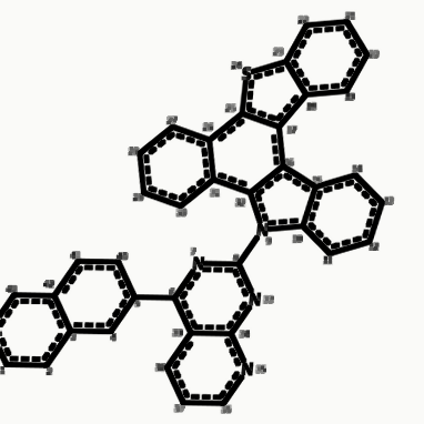 c1ccc2cc(-c3nc(-n4c5ccccc5c5c6c7ccccc7sc6c6ccccc6c54)nc4ncccc34)ccc2c1